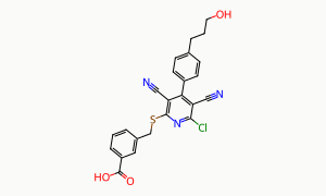 N#Cc1c(Cl)nc(SCc2cccc(C(=O)O)c2)c(C#N)c1-c1ccc(CCCO)cc1